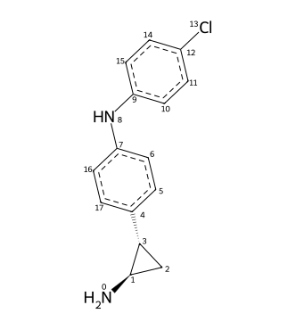 N[C@@H]1C[C@H]1c1ccc(Nc2ccc(Cl)cc2)cc1